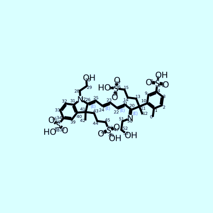 Cc1ccc(S(=O)(=O)O)cc1C(C)(CCCS(=O)(=O)O)C(/C=C/C=C/C=C1/N(CCO)c2ccc(S(=O)(=O)O)cc2C1(C)CCCS(=O)(=O)O)=N/CCO